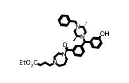 CCOC(=O)CCCN1CCCN(C(=O)c2cccc(C(c3cccc(O)c3)N3C[C@@H](C)N(Cc4ccccc4)C[C@@H]3C)c2)CC1